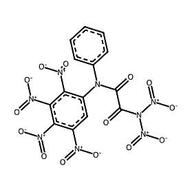 O=C(C(=O)N([N+](=O)[O-])[N+](=O)[O-])N(c1ccccc1)c1cc([N+](=O)[O-])c([N+](=O)[O-])c([N+](=O)[O-])c1[N+](=O)[O-]